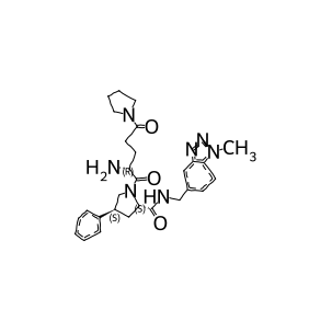 Cn1nnc2cc(CNC(=O)[C@@H]3C[C@@H](c4ccccc4)CN3C(=O)[C@H](N)CCC(=O)N3CCCC3)ccc21